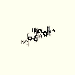 CC(C)C(=O)Nc1cncc(-c2ccc3[nH]nc(-c4cc5c(-c6cc(F)cc(NCCN(C)C)c6)cccc5[nH]4)c3n2)c1